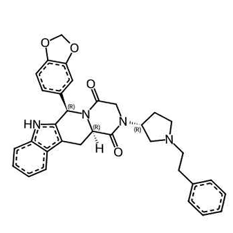 O=C1[C@H]2Cc3c([nH]c4ccccc34)[C@@H](c3ccc4c(c3)OCO4)N2C(=O)CN1[C@@H]1CCN(CCc2ccccc2)C1